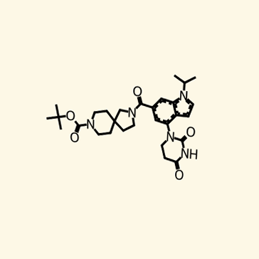 CC(C)n1ccc2c(N3CCC(=O)NC3=O)cc(C(=O)N3CCC4(CCN(C(=O)OC(C)(C)C)CC4)C3)cc21